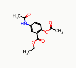 CCOC(=O)c1cc(NC(C)=O)ccc1OC(C)=O